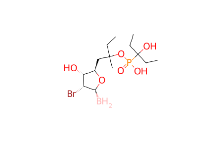 B[C@@H]1O[C@H](CC(C)(CC)OP(=O)(O)C(O)(CC)CC)[C@@H](O)[C@H]1Br